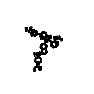 C=CC(=O)N1CCC(N[C@H]2CCc3cc(-n4c(-c5cccnc5N)nc5ccc(-c6cnn(C(F)(F)F)c6)nc54)ccc32)CC1